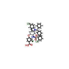 O=C(O)c1ccc(OCCc2c(CCNS(=O)(=O)c3ccccc3Cl)n(C(c3ccccc3)c3ccccc3)c3ccc(Cl)cc23)cc1F